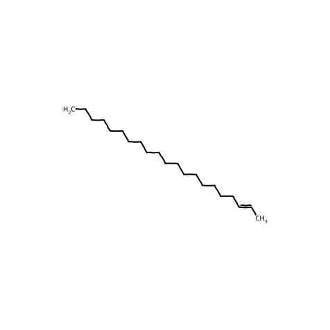 [CH2]CCCCCCCCCCCCCCCCCC=CC